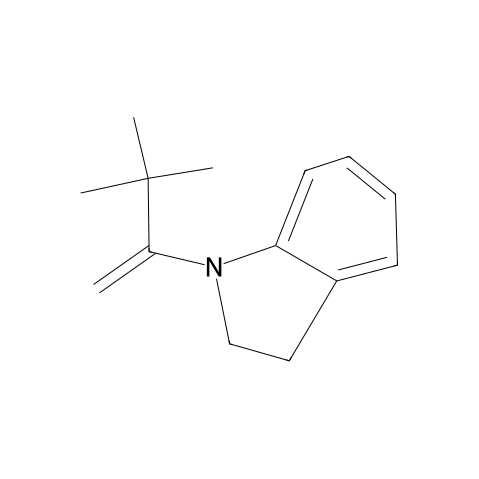 C=C(N1CCc2ccccc21)C(C)(C)C